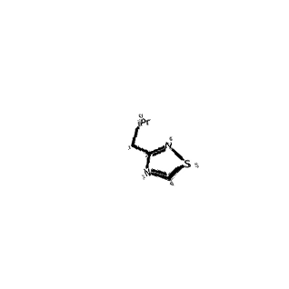 CC(C)Cc1ncsn1